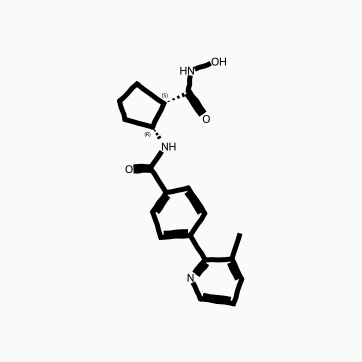 Cc1cccnc1-c1ccc(C(=O)N[C@@H]2CCC[C@@H]2C(=O)NO)cc1